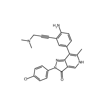 Cc1[nH]cc2c(=O)n(-c3ccc(Cl)cc3)nc-2c1-c1ccc(N)c(C#CCN(C)C)c1